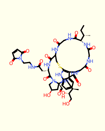 CC[C@H](C)[C@@H]1NC(=O)CNC(=O)C2Cc3c([nH]c4ccccc34)SCC(NC(=O)CNC1=O)C(=O)N[C@@H](CC(=O)NCCN1C(=O)C=CC1=O)C(=O)N1C[C@H](O)C[C@@]1(C=O)N[C@@H]([C@@H](C)[C@@H](O)CO)C(=O)N2